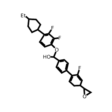 CCC1CCC(c2ccc(OC(O)c3ccc(C4=CCC(C5CO5)C=C4F)cc3)c(F)c2F)CC1